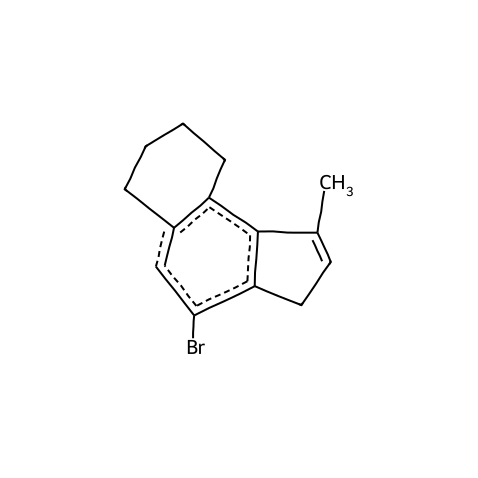 CC1=CCc2c(Br)cc3c(c21)CCCC3